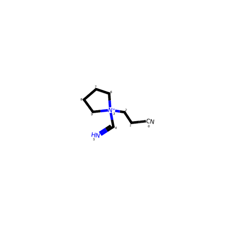 N#CCC[N+]1(C=N)CCCC1